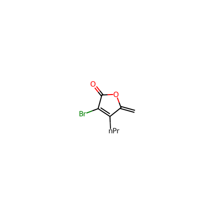 C=C1OC(=O)C(Br)=C1CCC